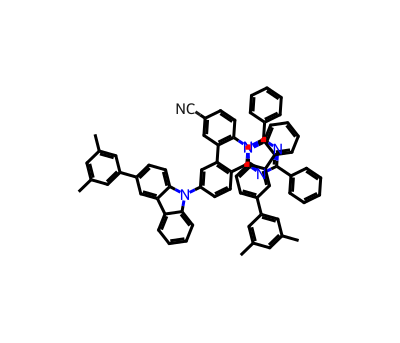 Cc1cc(C)cc(-c2ccc3c(c2)c2ccccc2n3-c2ccc(-c3nc(-c4ccccc4)nc(-c4ccccc4)n3)c(-c3cc(C#N)ccc3-n3c4ccccc4c4cc(-c5cc(C)cc(C)c5)ccc43)c2)c1